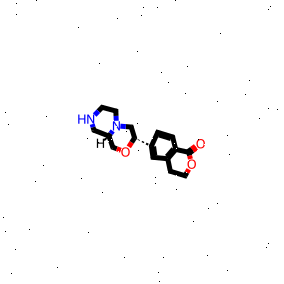 O=C1OCCc2cc([C@H]3CN4CCNC[C@@H]4CO3)ccc21